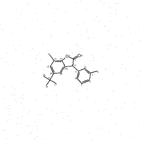 Cc1cccc(C2C(=O)Oc3c(C)cc(C(C)(C)C)cc32)c1